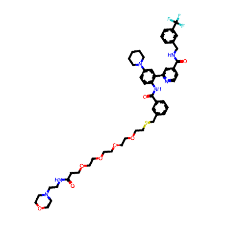 O=C(CCOCCOCCOCCOCCSCc1cccc(C(=O)Nc2ccc(N3CCCCC3)cc2-c2cc(C(=O)NCc3cccc(C(F)(F)F)c3)ccn2)c1)NCCN1CCOCC1